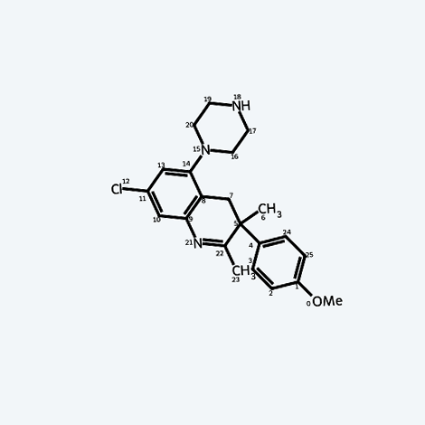 COc1ccc(C2(C)Cc3c(cc(Cl)cc3N3CCNCC3)N=C2C)cc1